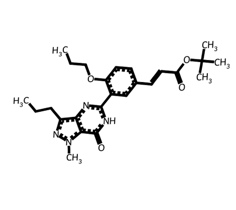 CCCOc1ccc(/C=C/C(=O)OC(C)(C)C)cc1-c1nc2c(CCC)nn(C)c2c(=O)[nH]1